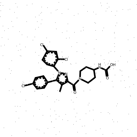 Cc1c(C(=O)N2CCC(NC(=O)O)CC2)nn(-c2ccc(Cl)cc2Cl)c1-c1ccc(Cl)cc1